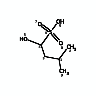 CC(C)CC(O)S(=O)(=O)O